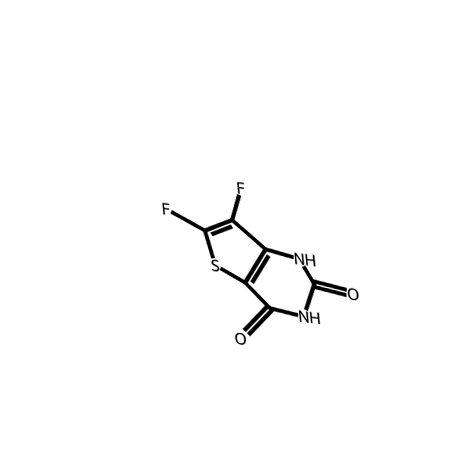 O=c1[nH]c(=O)c2sc(F)c(F)c2[nH]1